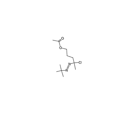 CC(=O)OCCCC(C)(Cl)N=NC(C)(C)C